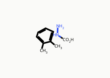 Cc1ccccc1C.NNC(=O)O